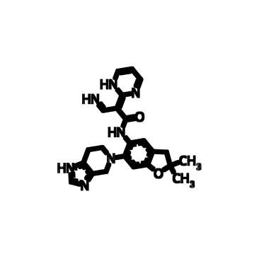 CC1(C)Cc2cc(NC(=O)/C(C=N)=C3\N=CC=CN3)c(N3CCc4[nH]cnc4C3)cc2O1